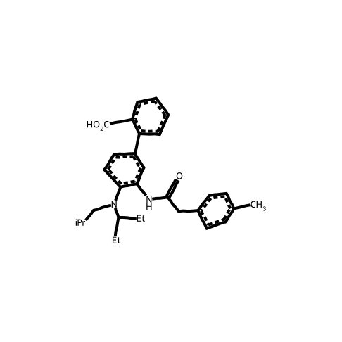 CCC(CC)N(CC(C)C)c1ccc(-c2ccccc2C(=O)O)cc1NC(=O)Cc1ccc(C)cc1